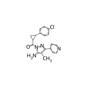 Cc1c(-c2ccncc2)nn(C(=O)C2CC2c2ccc(Cl)cc2)c1N